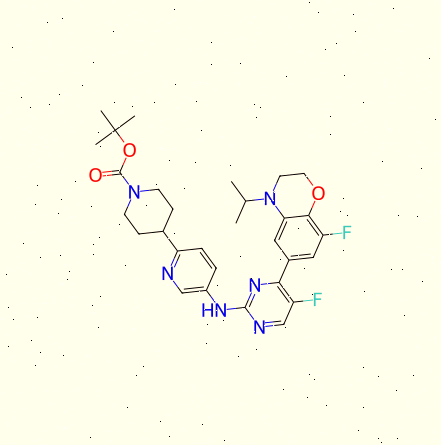 CC(C)N1CCOc2c(F)cc(-c3nc(Nc4ccc(C5CCN(C(=O)OC(C)(C)C)CC5)nc4)ncc3F)cc21